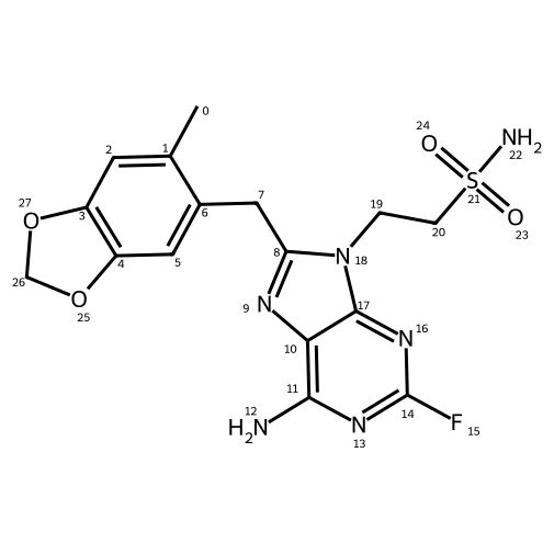 Cc1cc2c(cc1Cc1nc3c(N)nc(F)nc3n1CCS(N)(=O)=O)OCO2